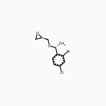 C[C@@H](OC[C@H]1CO1)c1ccc(Cl)cc1Br